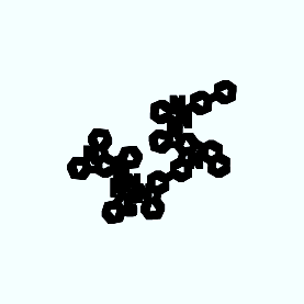 c1ccc(-c2ccc(-c3nc(-n4c5ccccc5c5c6c7cc(-c8ccc9c(c8)c8ccccc8n9-c8nc(-n9c%10ccccc%10c%10c%11c%12ccccc%12n%12c%13ccccc%13c(cc%109)c%11%12)nc9c8sc8ccccc89)ccc7n7c8c9ccccc9ccc8c(cc54)c67)c4ccccc4n3)cc2)cc1